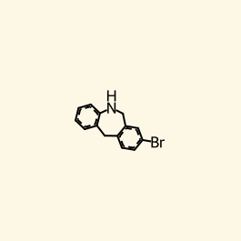 Brc1ccc2c(c1)CNc1ccccc1C2